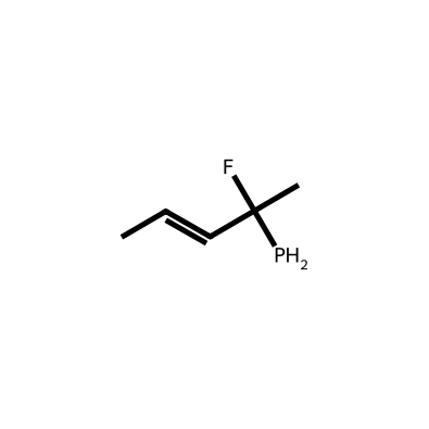 C/C=C/C(C)(F)P